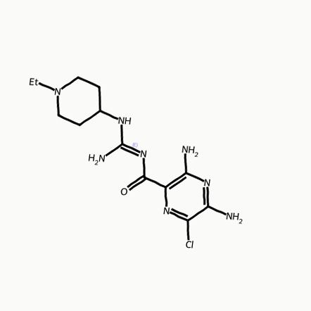 CCN1CCC(N/C(N)=N/C(=O)c2nc(Cl)c(N)nc2N)CC1